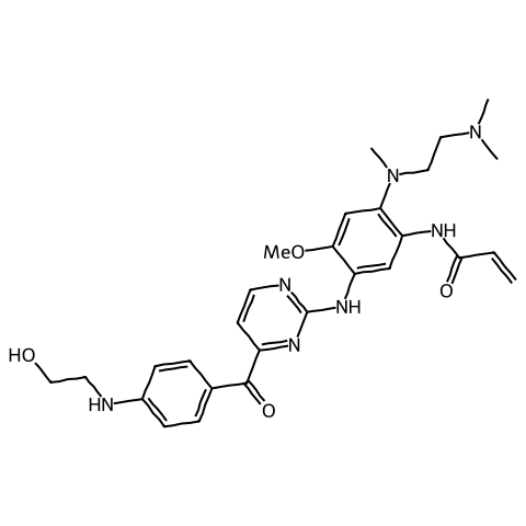 C=CC(=O)Nc1cc(Nc2nccc(C(=O)c3ccc(NCCO)cc3)n2)c(OC)cc1N(C)CCN(C)C